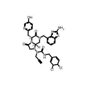 C#CCN(C(=O)NCC1=CC(Cl)C(Cl)C=C1)N1CC(=O)N2[C@@H](Cc3ccc(O)cn3)C(=O)N(Cc3cccc4sc(N)nc34)C[C@@H]21